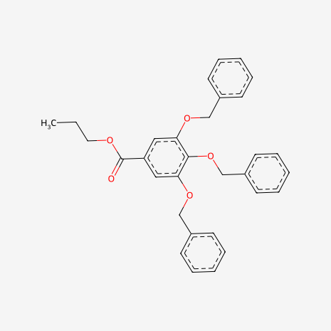 CCCOC(=O)c1cc(OCc2ccccc2)c(OCc2ccccc2)c(OCc2ccccc2)c1